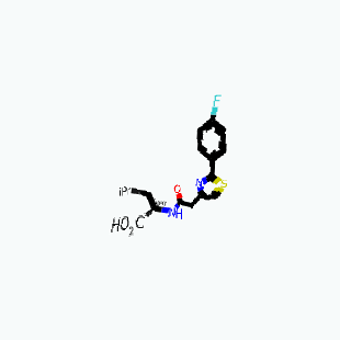 CC(C)C[C@@H](NC(=O)Cc1csc(-c2ccc(F)cc2)n1)C(=O)O